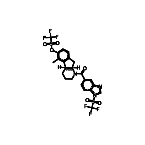 Cc1c(OS(=O)(=O)C(F)(F)F)ccc2c1[C@H]1CCCN(C(=O)c3ccc4c(c3)ncn4S(=O)(=O)C(F)(F)F)[C@H]1C2